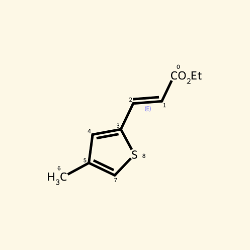 CCOC(=O)/C=C/c1cc(C)cs1